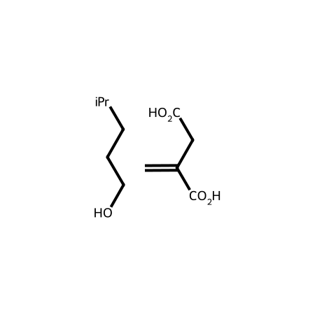 C=C(CC(=O)O)C(=O)O.CC(C)CCCO